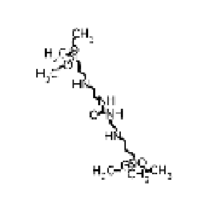 CCO[Si](C)(CCCNCCNC(=O)NCCNCCC[Si](C)(OCC)OCC)OCC